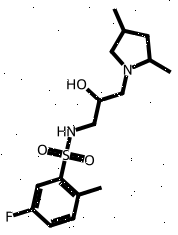 Cc1ccc(F)cc1S(=O)(=O)NCC(O)CN1CC(C)CC1C